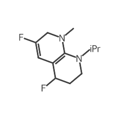 CC(C)N1CCC(F)C2=C1N(C)CC(F)=C2